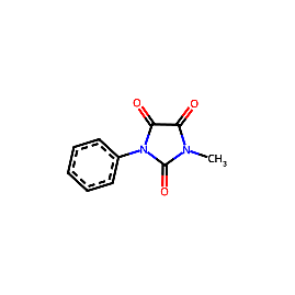 CN1C(=O)C(=O)N(c2ccccc2)C1=O